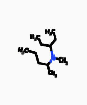 CCCC(C)N(C)C(CC)CC